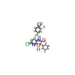 O=C([C@H](O)c1ccccc1)N(CCc1ccc(C(F)(F)F)cc1)c1ccc(Cl)nc1